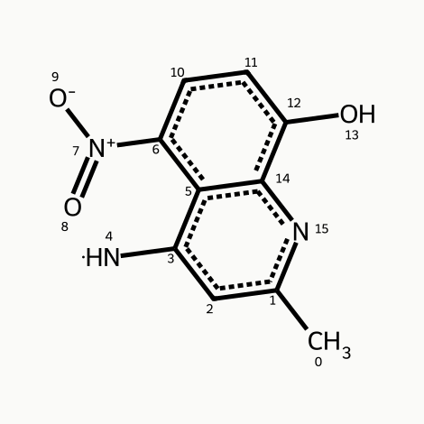 Cc1cc([NH])c2c([N+](=O)[O-])ccc(O)c2n1